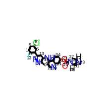 Cc1nnc(-c2cc(Cl)ccc2F)cc1Nc1ccnc2cc(OC(=O)N3C[C@H]4C[C@@H]3CN4C)ccc12